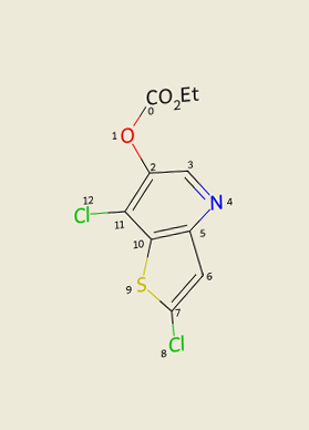 CCOC(=O)Oc1cnc2cc(Cl)sc2c1Cl